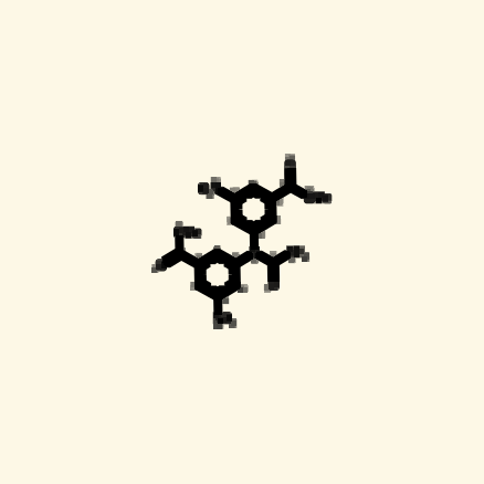 COC(=O)c1cc(N(C(N)=O)c2cc(C(=O)OC)cc([N+](=O)[O-])c2)cc([N+](=O)[O-])c1